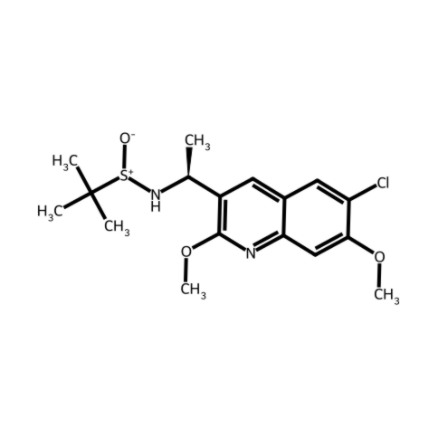 COc1cc2nc(OC)c([C@H](C)N[S+]([O-])C(C)(C)C)cc2cc1Cl